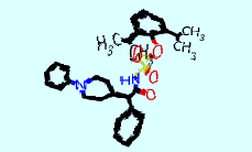 CC(C)c1cccc(C(C)C)c1OS(=O)(=O)NC(=O)C(=C1CCN(c2ccccc2)CC1)c1ccccc1